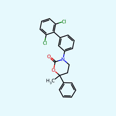 CC1(c2ccccc2)CCN(c2cccc(-c3c(Cl)cccc3Cl)c2)C(=O)O1